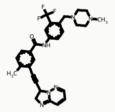 Cc1ccc(C(=O)Nc2ccc(CN3CCN(C)CC3)c(C(F)(F)F)c2)cc1C#CC1CN=C2C=CC=NN21